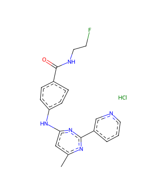 Cc1cc(Nc2ccc(C(=O)NCCF)cc2)nc(-c2cccnc2)n1.Cl